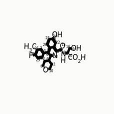 Cc1cc(-c2c(C3CCOCC3)nc(C(=O)NC(CO)C(=O)O)c3cc(O)ccc23)ccc1F